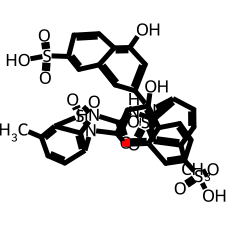 Cc1ccc2c(NC(=O)Nc3c4ccc(C)c3S(=O)(=O)N4c3cc(O)c4ccc(S(=O)(=O)O)cc4c3)c1S(=O)(=O)N2c1cc(O)c2ccc(S(=O)(=O)O)cc2c1